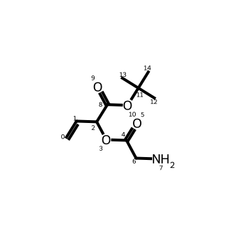 C=CC(OC(=O)CN)C(=O)OC(C)(C)C